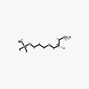 C[C@H](COCCCO[Si](C)(C)C(C)(C)C)CS(=O)(=O)O